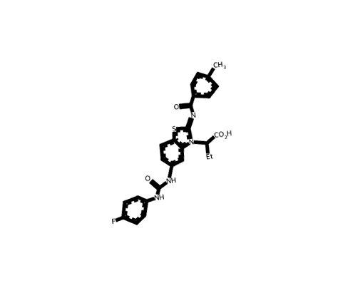 CCC(C(=O)O)n1c(=NC(=O)c2ccc(C)cc2)sc2ccc(NC(=O)Nc3ccc(F)cc3)cc21